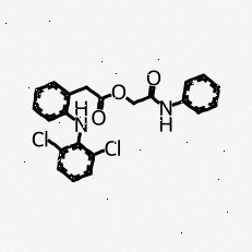 O=C(COC(=O)Cc1ccccc1Nc1c(Cl)cccc1Cl)Nc1ccccc1